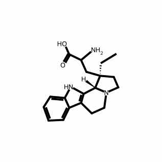 CC[C@]1(CC(N)C(=O)O)CCN2CCc3c([nH]c4ccccc34)[C@@H]21